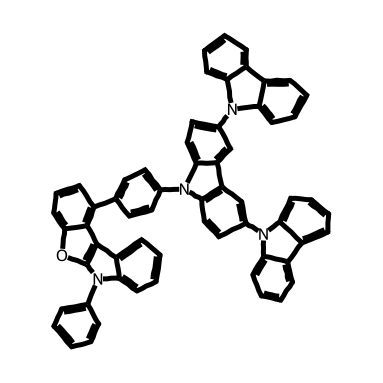 c1ccc(-n2c3ccccc3c3c4c(-c5ccc(-n6c7ccc(-n8c9ccccc9c9ccccc98)cc7c7cc(-n8c9ccccc9c9ccccc98)ccc76)cc5)cccc4oc32)cc1